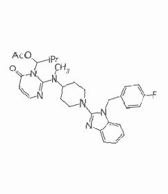 CC(=O)OC(C(C)C)n1c(N(C)C2CCN(c3nc4ccccc4n3Cc3ccc(F)cc3)CC2)nccc1=O